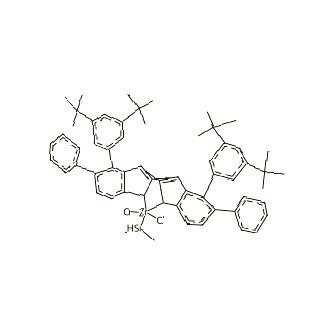 CC1=Cc2c(ccc(-c3ccccc3)c2-c2cc(C(C)(C)C)cc(C(C)(C)C)c2)[CH]1[Zr]([Cl])([Cl])([CH]1C(C)=Cc2c1ccc(-c1ccccc1)c2-c1cc(C(C)(C)C)cc(C(C)(C)C)c1)[SiH](C)C